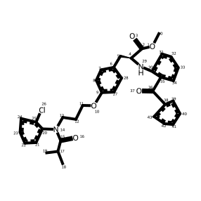 COC(=O)[C@H](Cc1ccc(OCCCN(C(=O)C(C)C)c2ccccc2Cl)cc1)Nc1ccccc1C(=O)c1ccccc1